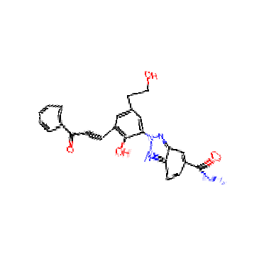 NC(=O)c1ccc2nn(-c3cc(CCO)cc(C=CC(=O)c4ccccc4)c3O)nc2c1